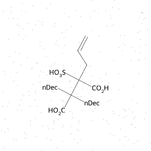 C=CCC(C(=O)O)(C(CCCCCCCCCC)(CCCCCCCCCC)C(=O)O)S(=O)(=O)O